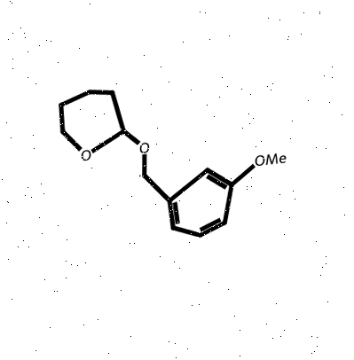 COc1cccc([CH]OC2CCCCO2)c1